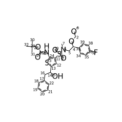 COCOC(CN(C)S(=O)(=O)c1cc(C(O)Cc2ccccc2)sc1NC(=O)OC(C)(C)C)c1ccc(F)cc1